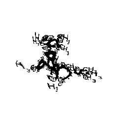 CC[C@H]1CCC[C@H](O[C@H]2CC[C@H](N(C)C)C(C)O2)[C@@H](C)C(=O)C2=C[C@@H]3C(C=C(c4ccc(OC)cc4)C4C[C@@H](OC5OC(C)C(OC)C(OC)C5OC)C[C@H]43)[C@@H]2CC(=O)O1